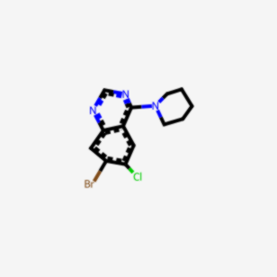 Clc1cc2c(N3CCCCC3)ncnc2cc1Br